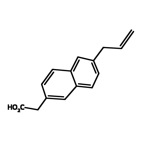 C=CCc1ccc2cc(CC(=O)O)ccc2c1